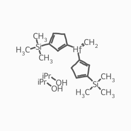 CC(C)O.CC(C)O.[CH2]=[Hf]([C]1=CC([Si](C)(C)C)=CC1)[C]1=CC([Si](C)(C)C)=CC1